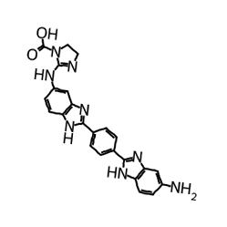 Nc1ccc2[nH]c(-c3ccc(-c4nc5cc(NC6=NCCN6C(=O)O)ccc5[nH]4)cc3)nc2c1